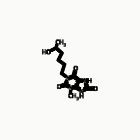 CC(O)CCCCn1c(=O)c2[nH]c(=O)[nH]c2n(C)c1=O